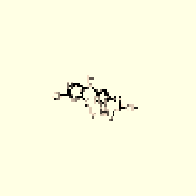 Cc1nc(Cl)ncc1Nc1cc(OC(C)C)[nH]n1